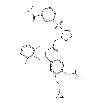 CN(C)C(=O)c1cccc(S(=O)(=O)N2CCC[C@H]2CC(=O)O[C@@H](Cc2c(Cl)cncc2Cl)c2ccc(OC(F)F)c(OCC3CC3)c2)c1